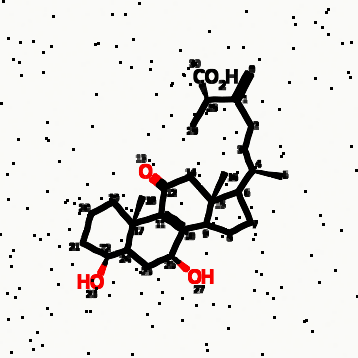 C=C(CC[C@@H](C)C1CCC2C3=C(C(=O)C[C@@]21C)[C@@]1(C)CCC[C@H](O)C1C[C@@H]3O)[C@@H](C)C(=O)O